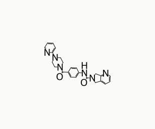 O=C(Nc1ccc(C(=O)N2CCN(c3ccccn3)CC2)cc1)N1Cc2cccnc2C1